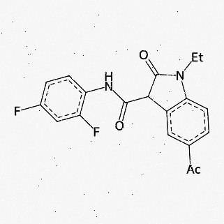 CCN1C(=O)C(C(=O)Nc2ccc(F)cc2F)c2cc(C(C)=O)ccc21